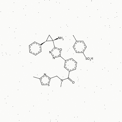 Cc1ccc(S(=O)(=O)O)cc1.Cc1csc(CN(C)C(=O)c2cccc(-c3nnc([C@@]4(N)C[C@@H]4c4ccccc4)o3)c2)n1